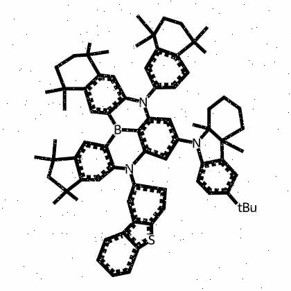 CC(C)(C)c1ccc2c(c1)C1(C)CCCCC1(C)N2c1cc2c3c(c1)N(c1ccc4sc5ccccc5c4c1)c1cc4c(cc1B3c1cc3c(cc1N2c1ccc2c(c1)C(C)(C)CCC2(C)C)C(C)(C)CCC3(C)C)C(C)(C)CC4(C)C